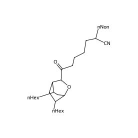 [CH2]CCCCCCCCC(C#N)CCCCC(=O)[C]1OC2CC(CCCCCC)C1CC2CCCCCC